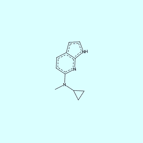 CN(c1ccc2cc[nH]c2n1)C1CC1